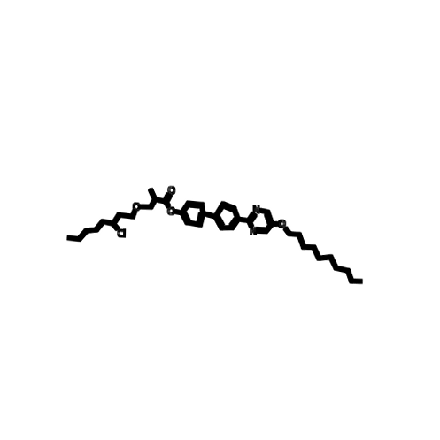 CCCCCCCCCCOc1cnc(-c2ccc(-c3ccc(OC(=O)C(C)COCCC(Cl)CCCCC)cc3)cc2)nc1